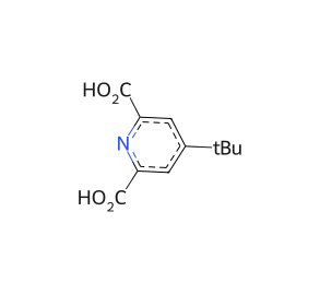 CC(C)(C)c1cc(C(=O)O)nc(C(=O)O)c1